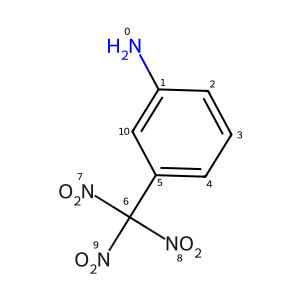 Nc1cccc(C([N+](=O)[O-])([N+](=O)[O-])[N+](=O)[O-])c1